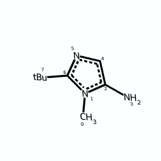 Cn1c(N)cnc1C(C)(C)C